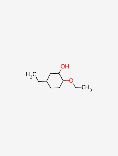 CCOC1CCC(CC)CC1O